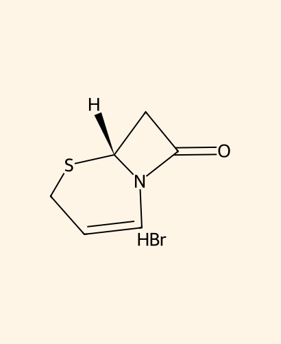 Br.O=C1C[C@H]2SCC=CN12